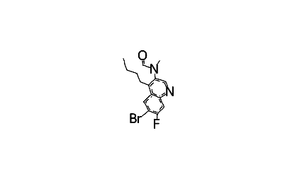 CCCCc1c(N(C)C=O)cnc2cc(F)c(Br)cc12